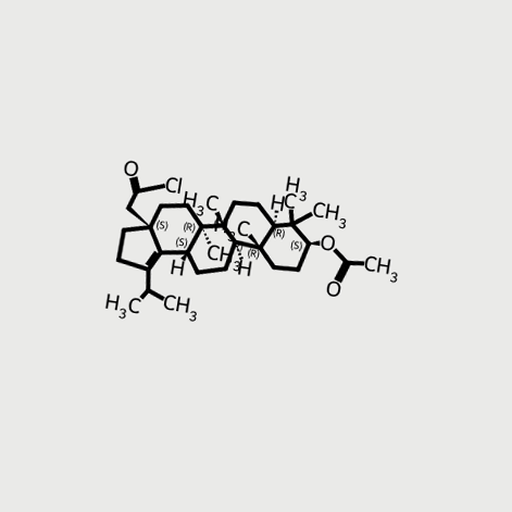 CC(=O)O[C@H]1CC[C@]2(C)[C@H]3CC[C@@H]4C5=C(C(C)C)CC[C@]5(CC(=O)Cl)CC[C@@]4(C)[C@]3(C)CC[C@H]2C1(C)C